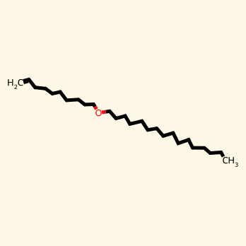 C=CCCCCCCCCOCCCCCCCCCCCCCCCC